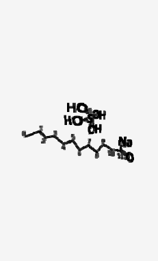 CCCCCCCCCCC[C](=O)[Na].O[Si](O)(O)O